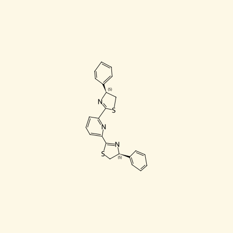 c1ccc([C@H]2CSC(c3cccc(C4=N[C@@H](c5ccccc5)CS4)n3)=N2)cc1